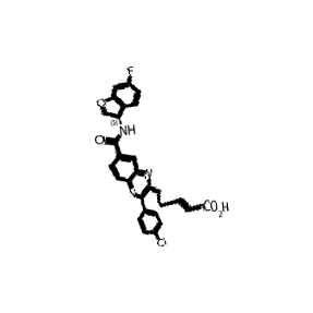 O=C(O)CCCCc1nc2cc(C(=O)N[C@@H]3COc4cc(F)ccc43)ccc2nc1-c1ccc(Cl)cc1